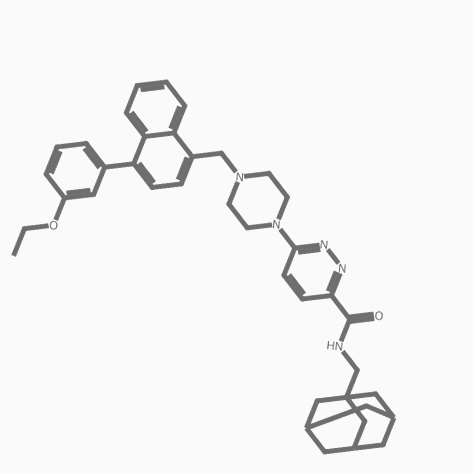 CCOc1cccc(-c2ccc(CN3CCN(c4ccc(C(=O)NCC56CC7CC(CC(C7)C5)C6)nn4)CC3)c3ccccc23)c1